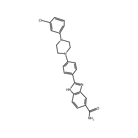 NC(=O)c1ccc2[nH]c(-c3ccc(N4CCN(c5cccc(Cl)c5)CC4)cc3)nc2c1